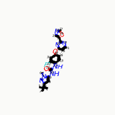 Cn1nc(C(C)(C)C)cc1NC(=O)Nc1ccc(Oc2ccnc(-c3cnco3)n2)cc1F